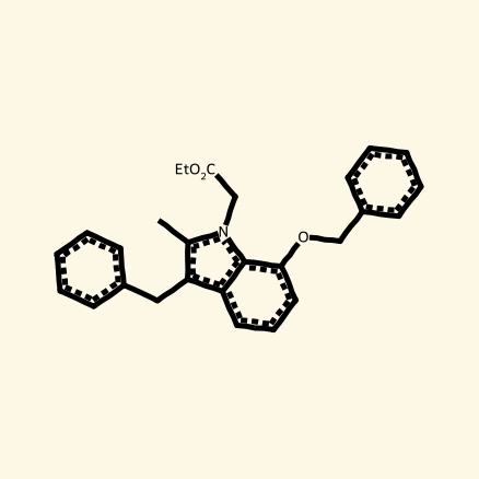 CCOC(=O)Cn1c(C)c(Cc2ccccc2)c2cccc(OCc3ccccc3)c21